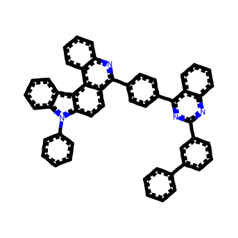 c1ccc(-c2cccc(-c3nc(-c4ccc(-c5nc6ccccc6c6c5ccc5c6c6ccccc6n5-c5ccccc5)cc4)c4ccccc4n3)c2)cc1